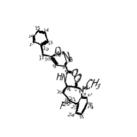 CN1C(=O)C(NC(=O)c2cc(Cc3ccccc3)on2)C[C@@H](F)c2ccccc21